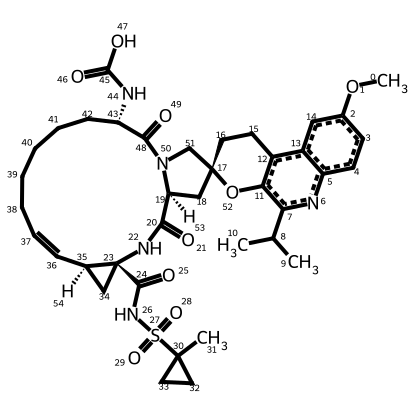 COc1ccc2nc(C(C)C)c3c(c2c1)CC[C@]1(C[C@H]2C(=O)N[C@]4(C(=O)NS(=O)(=O)C5(C)CC5)C[C@H]4C=CCCCCC[C@H](NC(=O)O)C(=O)N2C1)O3